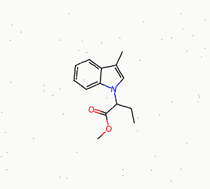 CCC(C(=O)OC)n1cc(C)c2ccccc21